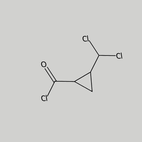 O=C(Cl)C1CC1C(Cl)Cl